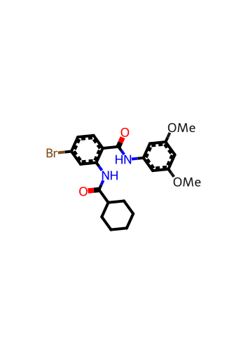 COc1cc(NC(=O)c2ccc(Br)cc2NC(=O)C2CCCCC2)cc(OC)c1